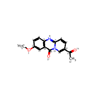 COc1ccc2nc3ccc(C(C)=O)cn3c(=O)c2c1